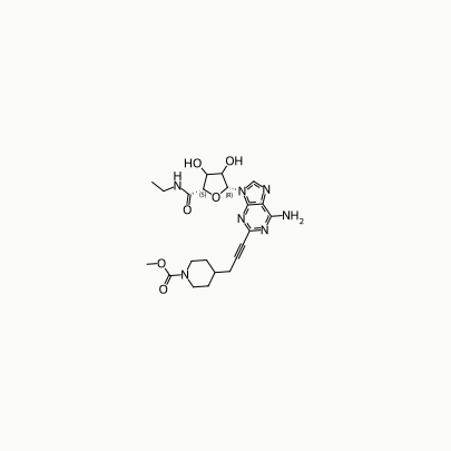 CCNC(=O)[C@H]1O[C@@H](n2cnc3c(N)nc(C#CCC4CCN(C(=O)OC)CC4)nc32)C(O)C1O